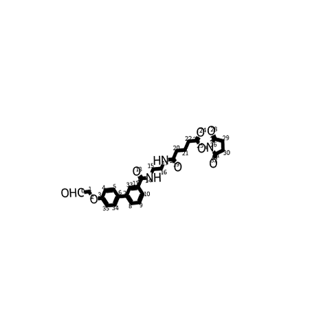 O=CCOc1ccc(-c2cccc(C(=O)NCCNC(=O)CCCC(=O)ON3C(=O)CCC3=O)c2)cc1